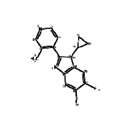 Cc1cnccc1-c1nc2cc(F)c(F)cc2n1C1CC1